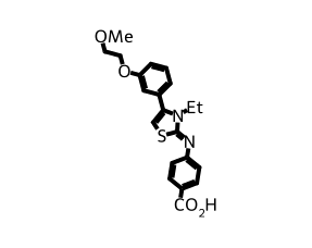 CCn1c(-c2cccc(OCCOC)c2)cs/c1=N\c1ccc(C(=O)O)cc1